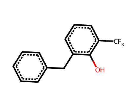 Oc1c(Cc2ccccc2)cccc1C(F)(F)F